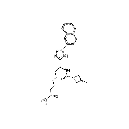 CNC(=O)CCCCCC(NC(=O)C1CN(C)C1)c1ncc(-c2ccc3ccccc3c2)[nH]1